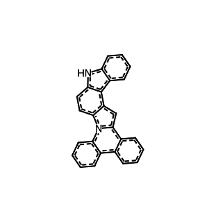 c1ccc2c(c1)[nH]c1ccc3c(cc4c5ccccc5c5ccccc5n43)c12